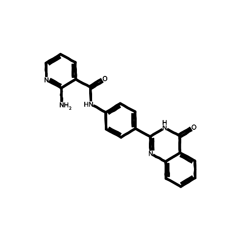 Nc1ncccc1C(=O)Nc1ccc(-c2nc3ccccc3c(=O)[nH]2)cc1